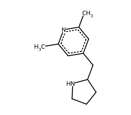 Cc1cc(CC2CCCN2)cc(C)n1